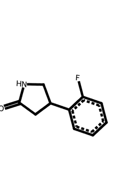 O=C1CC(c2ccccc2F)CN1